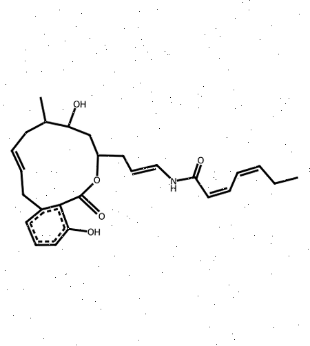 CC/C=C\C=C/C(=O)N/C=C/CC1CC(O)C(C)C/C=C/Cc2cccc(O)c2C(=O)O1